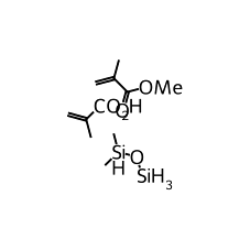 C=C(C)C(=O)O.C=C(C)C(=O)OC.C[SiH](C)O[SiH3]